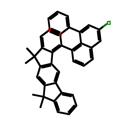 CC1(C)c2ccccc2-c2cc3c(cc21)C(C)(C)c1cccc(-c2cccc4cc(Cl)cc(-c5ccccc5)c24)c1-3